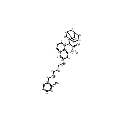 NC(=O)C(c1cccc2nc(NCCCNCc3ccccc3F)ccc12)C12CC3CC(CC(C3)C1)C2